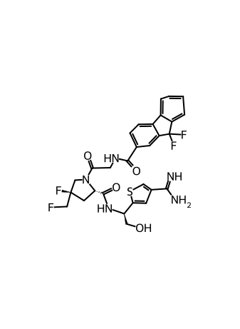 N=C(N)c1csc([C@@H](CO)NC(=O)[C@@H]2C[C@](F)(CF)CN2C(=O)CNC(=O)c2ccc3c(c2)C(F)(F)c2ccccc2-3)c1